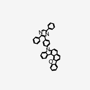 c1ccc(-c2cnc(-c3ccccc3)c(-c3ccc(-n4c5ccccc5c5c6c(ccc7c8ccccc8oc76)ccc54)cc3)n2)cc1